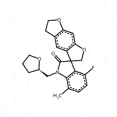 Cc1ccc(F)c2c1N(C[C@H]1CCCO1)C(=O)C21COc2cc3c(cc21)CCO3